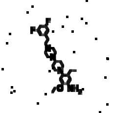 CCOc1cc(N2CCC(N3CCN(CCc4cc(F)cc(F)c4)CC3)CC2)c(CC)cc1N